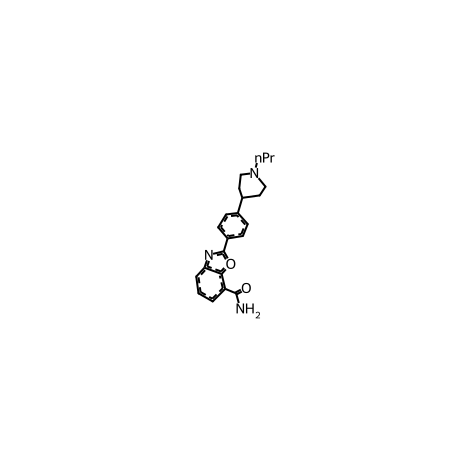 CCCN1CCC(c2ccc(-c3nc4cccc(C(N)=O)c4o3)cc2)CC1